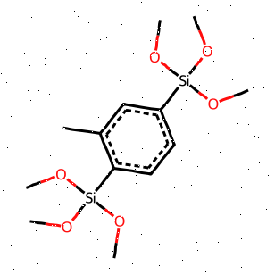 CO[Si](OC)(OC)c1ccc([Si](OC)(OC)OC)c(C)c1